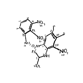 CCC(CC)Nc1c([N+](=O)[O-])cc(C)c(C)c1[N+](=O)[O-].Nc1cccc([N+](=O)[O-])c1[N+](=O)[O-]